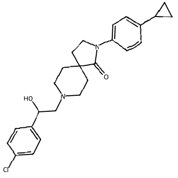 O=C1N(c2ccc(C3CC3)cc2)CCC12CCN(CC(O)c1ccc(Cl)cc1)CC2